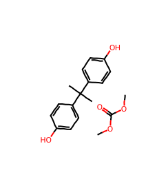 CC(C)(c1ccc(O)cc1)c1ccc(O)cc1.COC(=O)OC